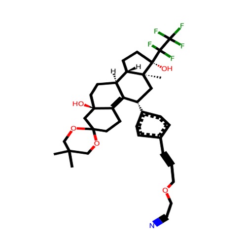 CC1(C)COC2(CCC3=C4[C@@H](CC[C@@]3(O)C2)[C@@H]2CC[C@@](O)(C(F)(F)C(F)(F)F)[C@@]2(C)C[C@@H]4c2ccc(C#CCOCC#N)cc2)OC1